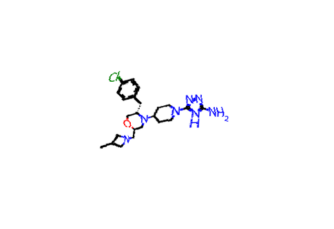 CC1CN(CC2CN(C3CCN(c4nnc(N)[nH]4)CC3)[C@@H](Cc3ccc(Cl)cc3)CO2)C1